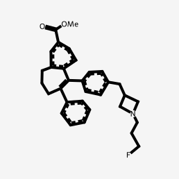 COC(=O)c1ccc2c(c1)CCCC(c1ccccc1)=C2c1ccc(CC2CN(CCCF)C2)cc1